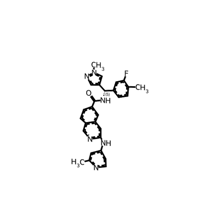 Cc1cc(Nc2cc3cc(C(=O)N[C@@H](c4ccc(C)c(F)c4)c4cnn(C)c4)ccc3cn2)ccn1